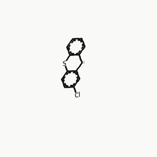 Clc1ccc2c(c1)[C]c1ccccc1S2